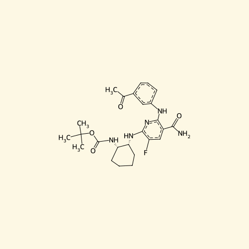 CC(=O)c1cccc(Nc2nc(N[C@@H]3CCCC[C@@H]3NC(=O)OC(C)(C)C)c(F)cc2C(N)=O)c1